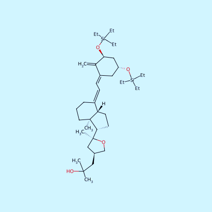 C=C1/C(=C/C=C2\CCC[C@@]3(C)[C@H]2CC[C@@H]3[C@]2(C)C[C@H](CC(C)(C)O)CO2)C[C@@H](O[Si](CC)(CC)CC)C[C@@H]1O[Si](CC)(CC)CC